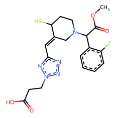 COC(=O)C(c1ccccc1F)N1CCC(S)/C(=C/c2nnn(CCC(=O)O)n2)C1